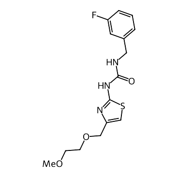 COCCOCc1csc(NC(=O)NCc2cccc(F)c2)n1